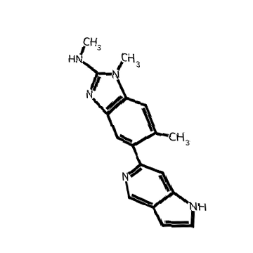 CNc1nc2cc(-c3cc4[nH]ccc4cn3)c(C)cc2n1C